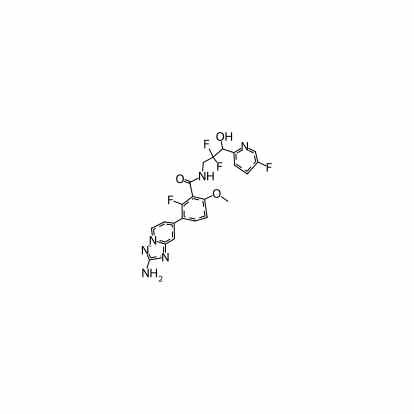 COc1ccc(-c2ccn3nc(N)nc3c2)c(F)c1C(=O)NCC(F)(F)C(O)c1ccc(F)cn1